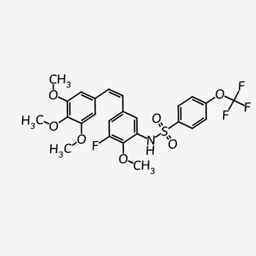 COc1cc(/C=C\c2cc(F)c(OC)c(NS(=O)(=O)c3ccc(OC(F)(F)F)cc3)c2)cc(OC)c1OC